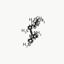 Cc1ccc(NC(=O)c2cc(C(C)(C)C)on2)cc1C#Cc1nn(C2CCN(C)CC2)c2ncnc(N)c12